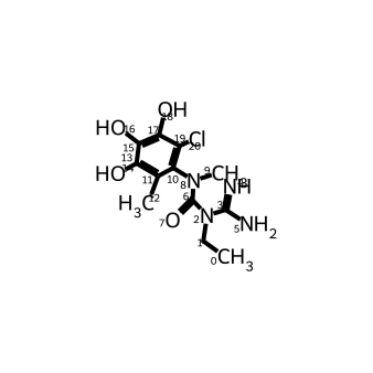 CCN(C(=N)N)C(=O)N(C)c1c(C)c(O)c(O)c(O)c1Cl